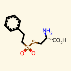 N[C@@H](CSS(=O)(=O)CCc1ccccc1)C(=O)O